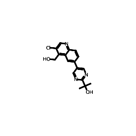 CC(C)(O)c1ncc(-c2ccc3ncc(Cl)c(CO)c3c2)cn1